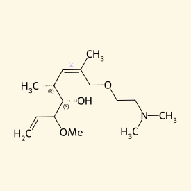 C=CC(OC)[C@@H](O)[C@H](C)/C=C(/C)COCCN(C)C